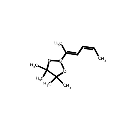 C/C=C\C=C(/C)B1OC(C)(C)C(C)(C)O1